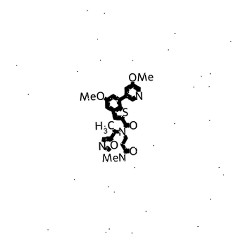 CNC(=O)CCN(C(=O)c1cc2cc(OC)cc(-c3cncc(OC)c3)c2s1)C(C)c1cnco1